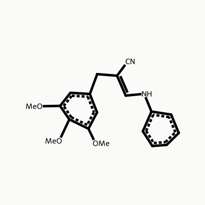 COc1cc(CC(C#N)=CNc2ccccc2)cc(OC)c1OC